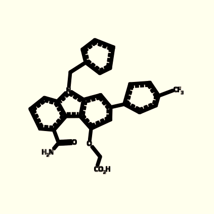 NC(=O)c1cccc2c1c1c(OCC(=O)O)cc(-c3ccc(C(F)(F)F)cc3)cc1n2Cc1ccccc1